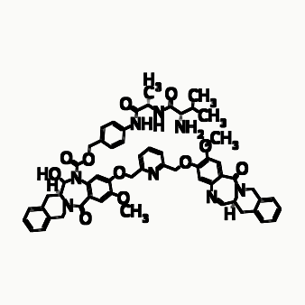 COc1cc2c(cc1OCc1cccc(COc3cc4c(cc3OC)C(=O)N3Cc5ccccc5C[C@H]3C(O)N4C(=O)OCc3ccc(NC(=O)[C@H](C)NC(=O)[C@@H](N)C(C)C)cc3)n1)N=C[C@@H]1Cc3ccccc3CN1C2=O